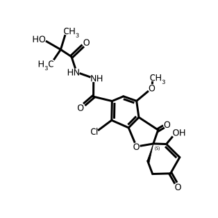 COc1cc(C(=O)NNC(=O)C(C)(C)O)c(Cl)c2c1C(=O)[C@@]1(CCC(=O)C=C1O)O2